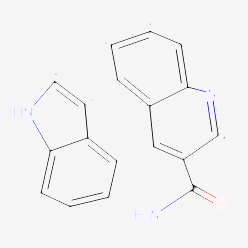 NC(=O)c1cnc2ccccc2c1.c1ccc2[nH]ccc2c1